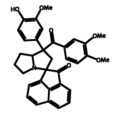 COc1cc(C2(C(=O)c3ccc(OC)c(OC)c3)CC3(C(=O)c4cccc5cccc3c45)N3CCCC32)ccc1O